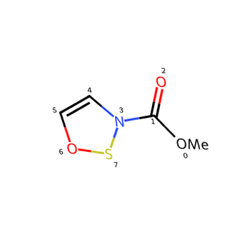 COC(=O)N1C=COS1